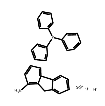 [H-].[H-].[H-].[Sc+3].[SiH3]c1cccc2c1Cc1ccccc1-2.c1ccc(P(c2ccccc2)c2ccccc2)cc1